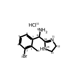 Cc1c(Br)cccc1C(N)C1=NCCN1.Cl